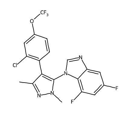 Cc1nn(C)c(-n2cnc3cc(F)cc(F)c32)c1-c1ccc(OC(F)(F)F)cc1Cl